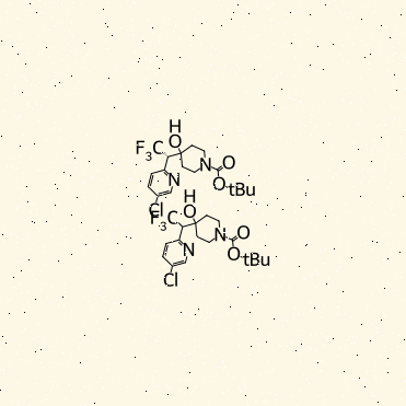 CC(C)(C)OC(=O)N1CCC(O)(C(c2ccc(Cl)cn2)C(F)(F)F)CC1.CC(C)(C)OC(=O)N1CCC(O)([C@H](c2ccc(Cl)cn2)C(F)(F)F)CC1